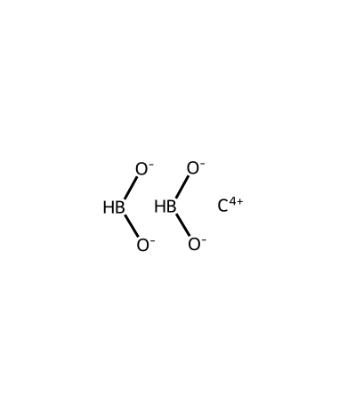 [C+4].[O-]B[O-].[O-]B[O-]